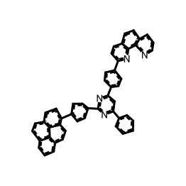 c1ccc(-c2cc(-c3ccc(-c4ccc5ccc6cccnc6c5n4)cc3)nc(-c3ccc(-c4ccc5ccc6cccc7ccc4c5c67)cc3)n2)cc1